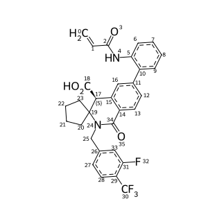 C=CC(=O)Nc1ccccc1-c1ccc2c(c1)[C@H](C(=O)O)C1(CCCC1)N(Cc1ccc(C(F)(F)F)c(F)c1)C2=O